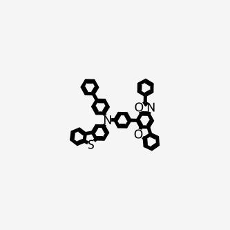 c1ccc(-c2ccc(N(c3ccc(-c4c5oc(-c6ccccc6)nc5cc5c4oc4ccccc45)cc3)c3ccc4sc5ccccc5c4c3)cc2)cc1